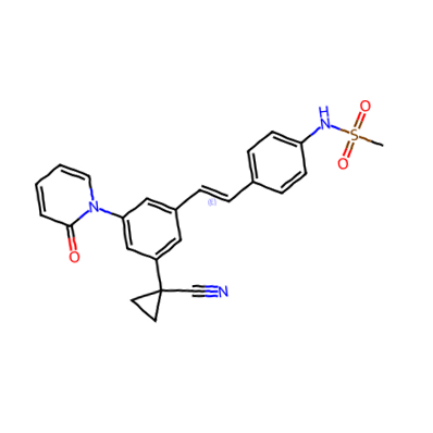 CS(=O)(=O)Nc1ccc(/C=C/c2cc(-n3ccccc3=O)cc(C3(C#N)CC3)c2)cc1